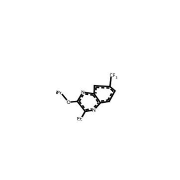 CCc1nc2ccc(C(F)(F)F)cc2nc1OC(C)C